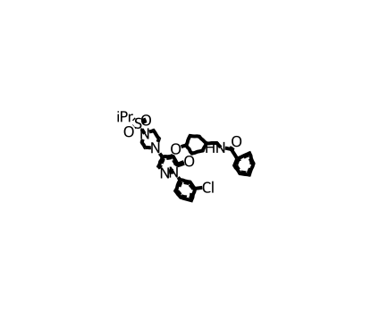 CC(C)S(=O)(=O)N1CCN(c2cnn(-c3cccc(Cl)c3)c(=O)c2OC2CCC(CNC(=O)c3ccccc3)CC2)CC1